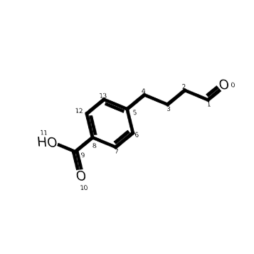 O=CCCCc1ccc(C(=O)O)cc1